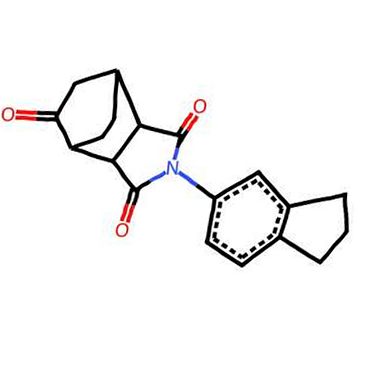 O=C1CC2CCC1C1C(=O)N(c3ccc4c(c3)CCC4)C(=O)C21